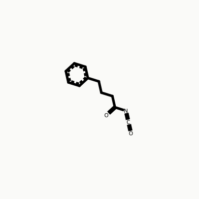 O=C=NC(=O)CCCc1ccccc1